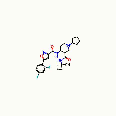 N#CC1(NC(=O)[C@H]2CN(C3CCCC3)CC[C@@H]2NC(=O)c2cc(-c3ccc(F)cc3F)on2)CCC1